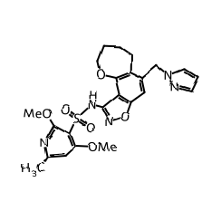 COc1cc(C)nc(OC)c1S(=O)(=O)Nc1noc2cc(Cn3cccn3)c3c(c12)OCCCC3